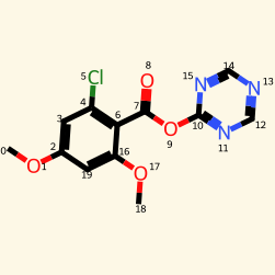 COc1cc(Cl)c(C(=O)Oc2ncncn2)c(OC)c1